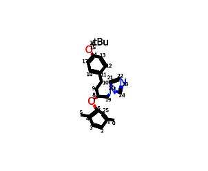 Cc1ccc(C)c(OC(CCc2ccc(OC(C)(C)C)cc2)Cn2ccnc2)c1